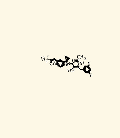 CC(=O)N[C@@H](Cc1cc(F)cc(F)c1)[C@H](O)CNC1(c2cccc(CC(C)C)c2)CC1